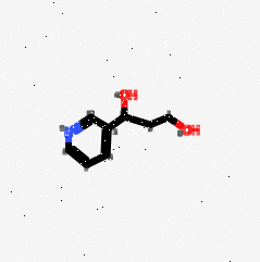 OCCC(O)c1cccnc1